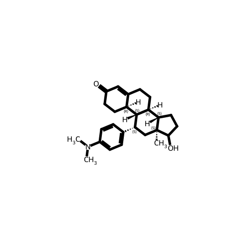 CN(C)c1ccc([C@H]2C[C@]3(C)C(O)CC[C@H]3[C@@H]3CCC4=CC(=O)CC[C@@H]4[C@H]32)cc1